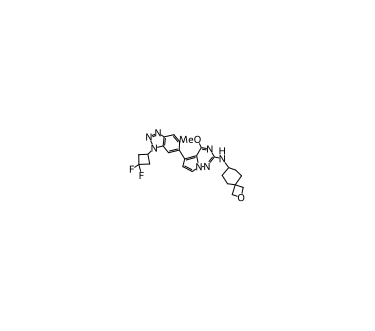 COc1nc(NC2CCC3(CC2)COC3)nn2ccc(-c3ccc4nnn(C5CC(F)(F)C5)c4c3)c12